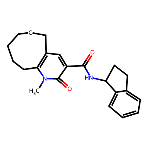 Cn1c2c(cc(C(=O)NC3CCc4ccccc43)c1=O)CCCCCC2